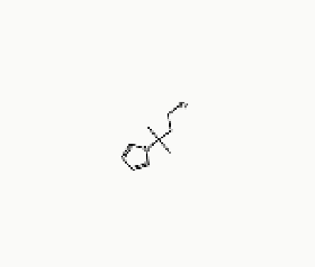 CC(C)CCC(C)(C)n1cccc1